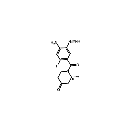 C[C@@H]1CC(=O)CCN1C(=O)c1cc(N=N)c(N)cc1F